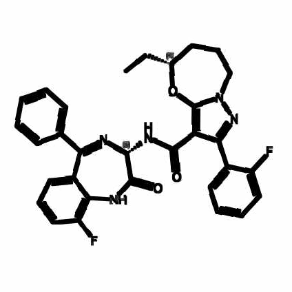 CC[C@@H]1CCCn2nc(-c3ccccc3F)c(C(=O)N[C@H]3N=C(c4ccccc4)c4cccc(F)c4NC3=O)c2O1